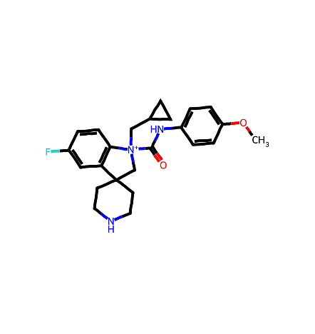 COc1ccc(NC(=O)[N+]2(CC3CC3)CC3(CCNCC3)c3cc(F)ccc32)cc1